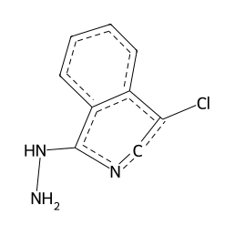 NNc1ncc(Cl)c2ccccc12